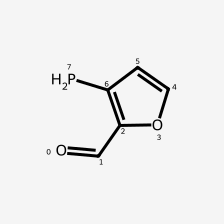 O=Cc1occc1P